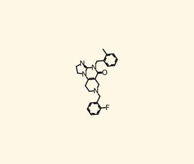 Cc1ccccc1CN1C(=O)C2=C(CCN(Cc3ccccc3F)C2)N2CCN=C12